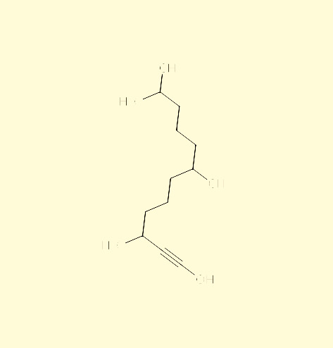 CC(C)CCCC(C)CCCC(C)C#CO